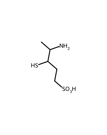 CC(N)C(S)CCS(=O)(=O)O